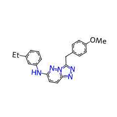 CCc1cccc(Nc2ccc3nnc(Cc4ccc(OC)cc4)n3n2)c1